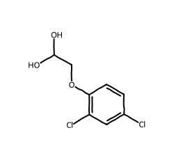 OC(O)COc1ccc(Cl)cc1Cl